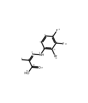 CC(=NNc1ccc(F)c(F)c1Br)C(=O)O